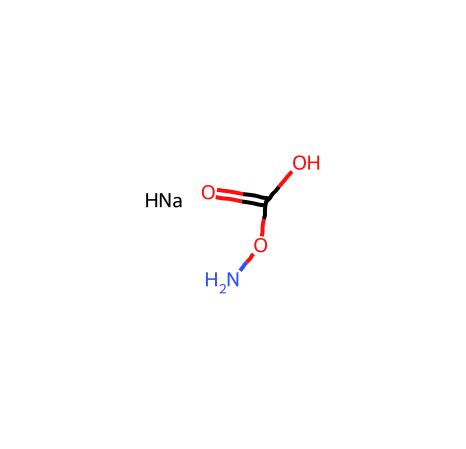 NOC(=O)O.[NaH]